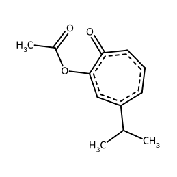 CC(=O)Oc1cc(C(C)C)cccc1=O